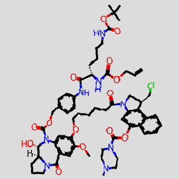 C=CCOC(=O)N[C@@H](CCCCNC(=O)OC(C)(C)C)C(=O)Nc1ccc(COC(=O)N2c3cc(OCCCCCC(=O)N4C[C@@H](CCl)c5c4cc(OC(=O)N4CCN(C)CC4)c4ccccc54)c(OC)cc3C(=O)N3CCC[C@H]3[C@@H]2O)cc1